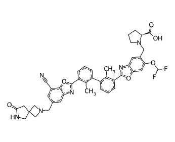 Cc1c(-c2nc3cc(CN4CCC[C@H]4C(=O)O)c(OC(F)F)cc3o2)cccc1-c1cccc(-c2nc3cc(CN4CC5(CNC(=O)C5)C4)cc(C#N)c3o2)c1C